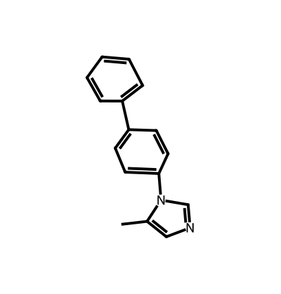 Cc1cncn1-c1ccc(-c2ccccc2)cc1